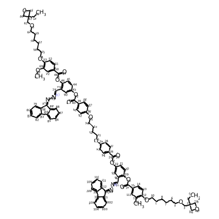 CCC1(COCCCCCCOc2ccc(C(=O)Oc3ccc(OC(=O)c4ccc(OCCCCOc5ccc(C(=O)Oc6ccc(OC(=O)c7ccc(OCCCCCCOCC8(CC)COC8)c(OC)c7)c(/C=N/N=C7c8ccccc8-c8ccccc87)c6)cc5)cc4)cc3/C=N/N=C3c4ccccc4-c4ccccc43)cc2C)COC1